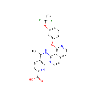 CC(Nc1nccc2ccnc(Oc3cccc(OC(C)(F)F)c3)c12)c1ccc(C(=O)O)nc1